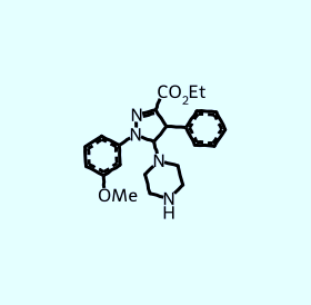 CCOC(=O)C1=NN(c2cccc(OC)c2)C(N2CCNCC2)C1c1ccccc1